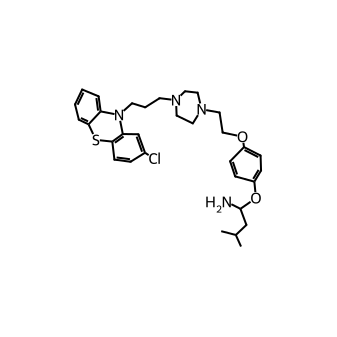 CC(C)CC(N)Oc1ccc(OCCN2CCN(CCCN3c4ccccc4Sc4ccc(Cl)cc43)CC2)cc1